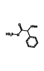 CCCCCCC(C(=O)OS(=O)(=O)O)c1ccccc1